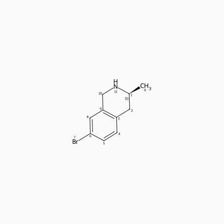 C[C@H]1Cc2ccc(Br)cc2CN1